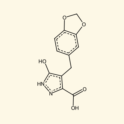 O=C(O)c1n[nH]c(O)c1Cc1ccc2c(c1)OCO2